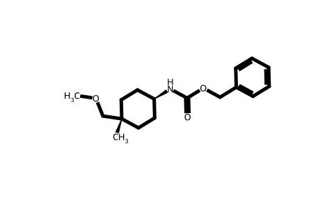 COC[C@]1(C)CC[C@@H](NC(=O)OCc2ccccc2)CC1